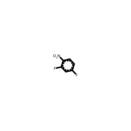 O=[N+]([O-])c1[c]cc(F)cc1F